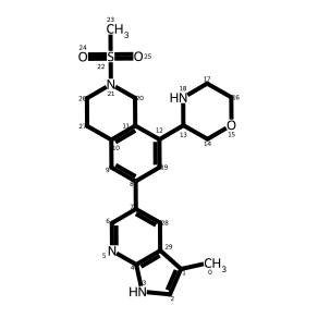 Cc1c[nH]c2ncc(-c3cc4c(c(C5COCCN5)c3)CN(S(C)(=O)=O)CC4)cc12